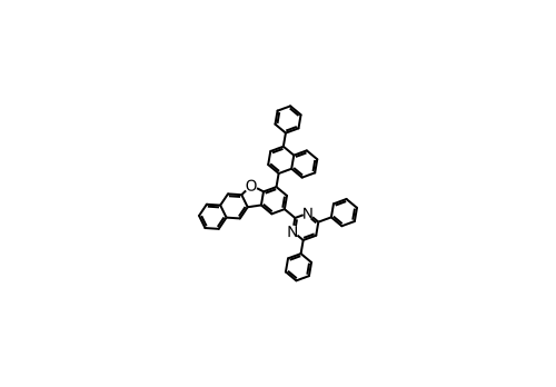 c1ccc(-c2cc(-c3ccccc3)nc(-c3cc(-c4ccc(-c5ccccc5)c5ccccc45)c4oc5cc6ccccc6cc5c4c3)n2)cc1